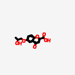 CC(O)COc1ccc2oc(C(=O)O)cc(=O)c2c1